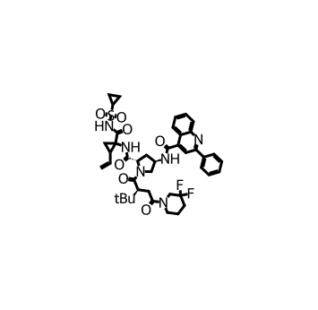 C=CC1CC1(NC(=O)[C@@H]1C[C@@H](NC(=O)c2cc(-c3ccccc3)nc3ccccc23)CN1C(=O)[C@@H](CC(=O)N1CCCC(F)(F)C1)C(C)(C)C)C(=O)NS(=O)(=O)C1CC1